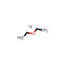 CCOCC.[Ti]